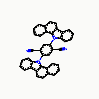 N#Cc1cc(-n2c3ccccc3c3ccc4ccccc4c32)c(C#N)cc1-n1c2ccccc2c2ccc3ccccc3c21